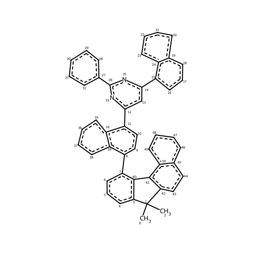 CC1(C)c2cccc(-c3ccc(-c4cc(-c5cccc6ccccc56)nc(-c5ccccc5)n4)c4ccccc34)c2-c2c1ccc1ccccc21